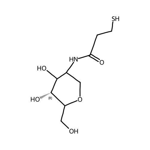 O=C(CCS)NC1COC(CO)[C@H](O)C1O